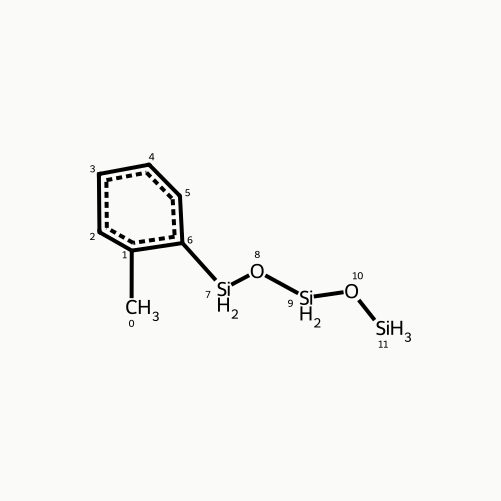 Cc1ccccc1[SiH2]O[SiH2]O[SiH3]